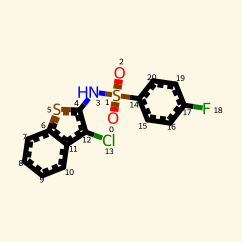 O=S(=O)(Nc1sc2ccccc2c1Cl)c1ccc(F)cc1